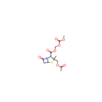 COC(=O)OCOC(=O)C1N2C(=O)CC2SC1(C)COC(C)=O